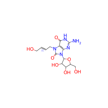 Nc1nc2c(c(=O)[nH]1)n(C/C=C/CO)c(=O)n2C1OC(CO)C(O)C1O